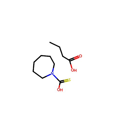 CCCC(=O)O.OC(=S)N1CCCCCC1